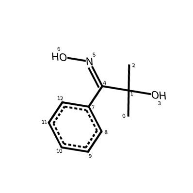 CC(C)(O)/C(=N/O)c1ccccc1